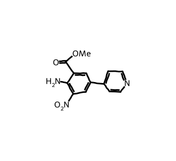 COC(=O)c1cc(-c2ccncc2)cc([N+](=O)[O-])c1N